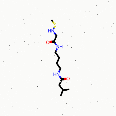 CSNCC(=O)NCCCCNC(=O)CC(C)C